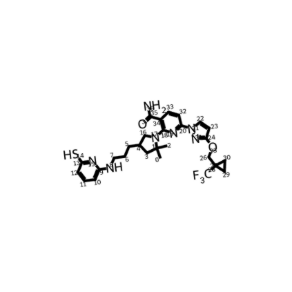 CC1(C)CC(CCCNc2cccc(S)n2)CN1c1nc(-n2ccc(OCC3(C(F)(F)F)CC3)n2)ccc1C(N)=O